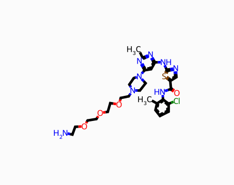 Cc1nc(Nc2ncc(C(=O)Nc3c(C)cccc3Cl)s2)cc(N2CCN(CCOCCOCCOCCN)CC2)n1